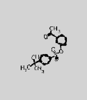 CC(=O)c1cccc(OS(=O)(=O)c2ccc(C(C)(C)C)cc2)c1